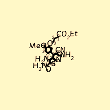 CCOC(=O)CCCOc1cc(-c2c(C#N)c(N)nc3sc(C(N)=O)c(N)c23)ccc1OC